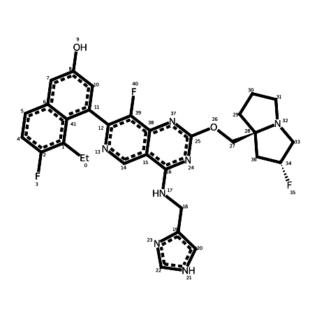 CCc1c(F)ccc2cc(O)cc(-c3ncc4c(NCc5c[nH]cn5)nc(OC[C@@]56CCCN5C[C@H](F)C6)nc4c3F)c12